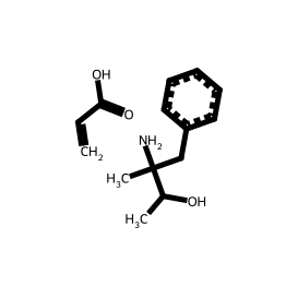 C=CC(=O)O.CC(O)C(C)(N)Cc1ccccc1